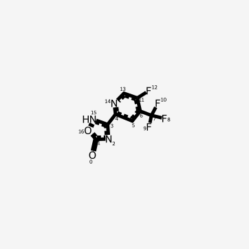 O=c1nc(-c2cc(C(F)(F)F)c(F)cn2)[nH]o1